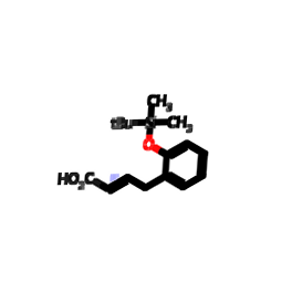 CC(C)(C)[Si](C)(C)Oc1ccccc1C/C=C/C(=O)O